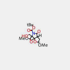 COC(=O)[C@]1(CO)N(C(=O)OC(C)(C)C)C(=O)[C@@H]2C[C@@H](OC)O[C@@]21C